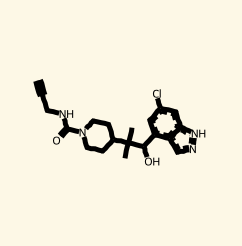 C#CCNC(=O)N1CCC(C(C)(C)C(O)c2cc(Cl)cc3[nH]ncc23)CC1